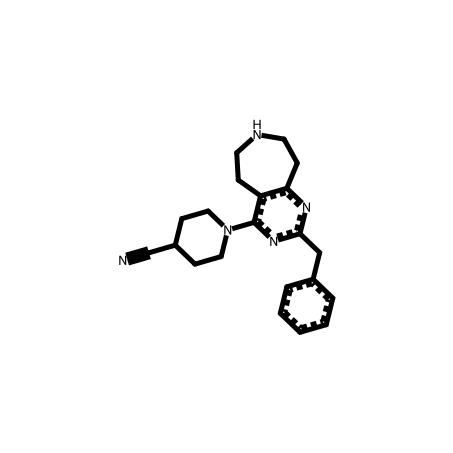 N#CC1CCN(c2nc(Cc3ccccc3)nc3c2CCNCC3)CC1